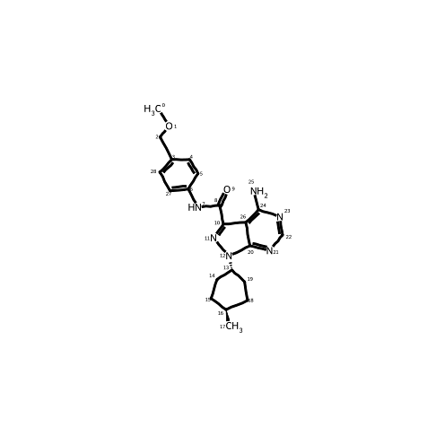 COCc1ccc(NC(=O)c2nn([C@H]3CC[C@H](C)CC3)c3ncnc(N)c23)cc1